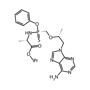 CC(C)OC(=O)[C@H](C)N[P@@](=S)(CO[C@H](C)Cn1cnc2c(N)ncnc21)Oc1ccccc1